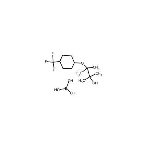 CC(C)(O)C(C)(C)OC1CCC(C(F)(F)F)CC1.OB(O)O